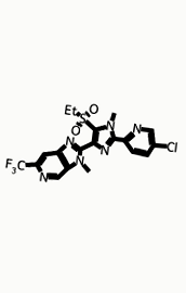 CCS(=O)(=O)c1c(-c2nc3cc(C(F)(F)F)ncc3n2C)nc(-c2ccc(Cl)cn2)n1C